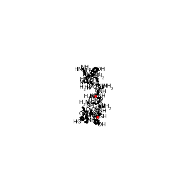 CC[C@H](C)[C@H](NC(=O)[C@@H]1C[C@@H](O)CN1C(=O)[C@@H](N)C(C)C)C(=O)N[C@H](C(=O)N[C@@H](Cc1ccc(O)cc1)C(=O)N[C@H](C(=O)N[C@@H](CN)C(=O)N[C@@H](CCCNC(=N)N)C(=O)N[C@@H](CCN)C(=O)N[C@H](C(=O)N[C@H](CCN)C(=O)N[C@@H](CCCCN)C(=O)N[C@@H](CS)C(=O)N[C@@H](CCN)C(=O)N[C@@H](CCCNC(=N)N)C(=O)N[C@@H](Cc1ccc(O)cc1)C(=O)O)[C@@H](C)O)C(C)(C)S)[C@@H](C)O